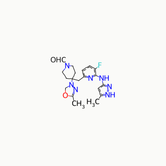 CC1=NN(C2(Cc3ccc(F)c(Nc4cc(C)[nH]n4)n3)CCN(C=O)CC2)CO1